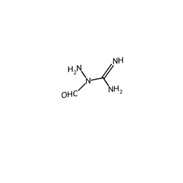 N=C(N)N(N)C=O